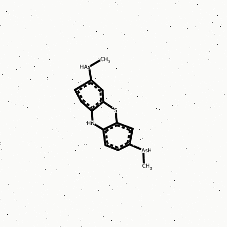 C[AsH]c1ccc2c(c1)Sc1cc([AsH]C)ccc1N2